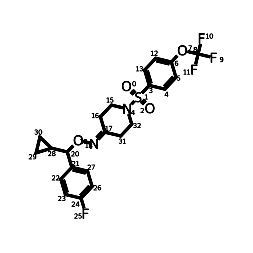 O=S(=O)(c1ccc(OC(F)(F)F)cc1)N1CCC(=NOC(c2ccc(F)cc2)C2CC2)CC1